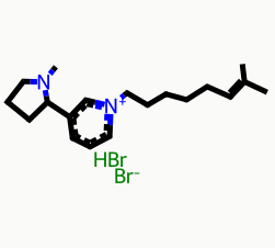 Br.CC(C)=CCCCCC[n+]1cccc(C2CCCN2C)c1.[Br-]